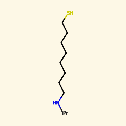 CC(C)NCCCCCCCCS